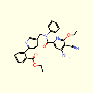 CCOC(=O)c1ccccc1-c1ccc(CN(C(=O)c2cc(N)c(C#N)c(OCC)n2)c2ccccc2)cn1